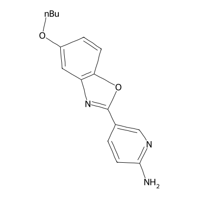 CCCCOc1ccc2oc(-c3ccc(N)nc3)nc2c1